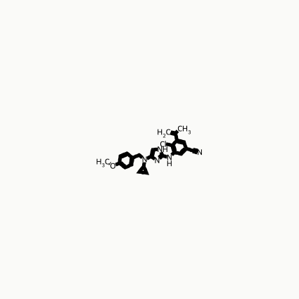 C=C(C)c1cc(C#N)cc(Nc2nc(N(Cc3ccc(OC)cc3)C3CC3)c[nH]2)c1Cl